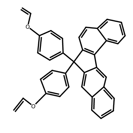 C=COc1ccc(C2(c3ccc(OC=C)cc3)c3cc4ccccc4cc3-c3c2ccc2ccccc32)cc1